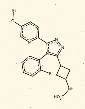 CCOc1ccc(-c2nnc(C3CC(NC(=O)O)C3)n2-c2ccccc2F)nc1